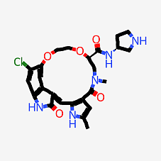 Cc1cc2c([nH]1)/C=C1\C(=O)Nc3cc(Cl)c(cc31)OCCO[C@@H](C(=O)N[C@@H]1CCNC1)CN(C)C2=O